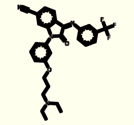 CCN(CC)CCCOc1cccc(N2C(=O)C(=Nc3cccc(C(F)(F)F)c3)c3ccc(C#N)cc32)c1